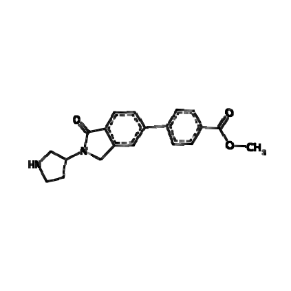 COC(=O)c1ccc(-c2ccc3c(c2)CN(C2CCNC2)C3=O)cc1